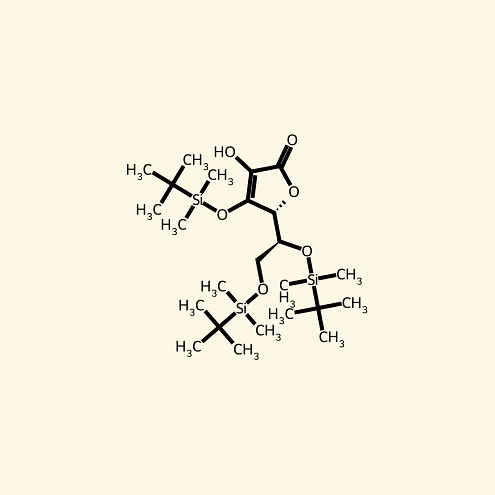 CC(C)(C)[Si](C)(C)OC[C@H](O[Si](C)(C)C(C)(C)C)[C@H]1OC(=O)C(O)=C1O[Si](C)(C)C(C)(C)C